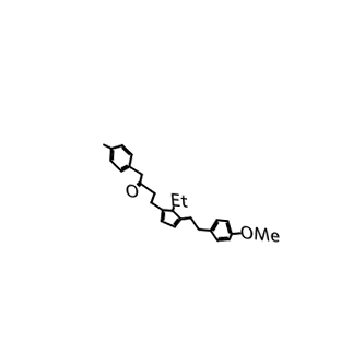 CCC1C(CCC(=O)Cc2ccc(C)cc2)=CC=C1CCc1ccc(OC)cc1